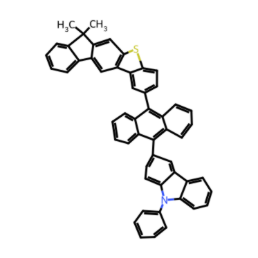 CC1(C)c2ccccc2-c2cc3c(cc21)sc1ccc(-c2c4ccccc4c(-c4ccc5c(c4)c4ccccc4n5-c4ccccc4)c4ccccc24)cc13